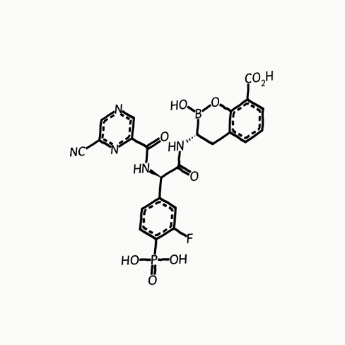 N#Cc1cncc(C(=O)N[C@@H](C(=O)N[C@H]2Cc3cccc(C(=O)O)c3OB2O)c2ccc(P(=O)(O)O)c(F)c2)n1